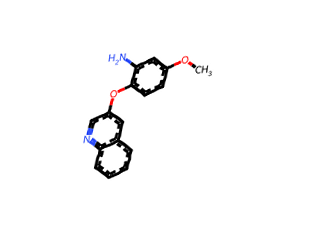 COc1ccc(Oc2cnc3ccccc3c2)c(N)c1